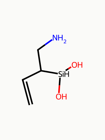 C=CC(CN)[SiH](O)O